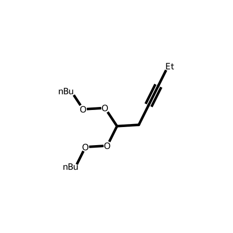 CCC#CCC(OOCCCC)OOCCCC